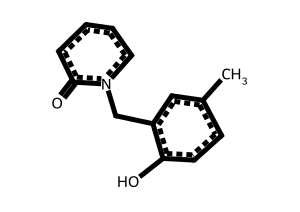 Cc1ccc(O)c(Cn2ccccc2=O)c1